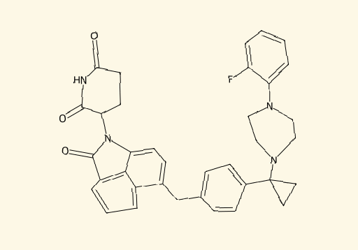 O=C1CCC(N2C(=O)c3cccc4c(Cc5ccc(C6(N7CCN(c8ccccc8F)CC7)CC6)cc5)ccc2c34)C(=O)N1